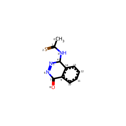 CC(=S)NC1N=NC(=O)c2ccccc21